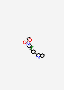 O=C([C@H]1CCCO1)N1CCC(F)(Cc2ccc(-c3cnc4ccccc4c3)cc2)CC1